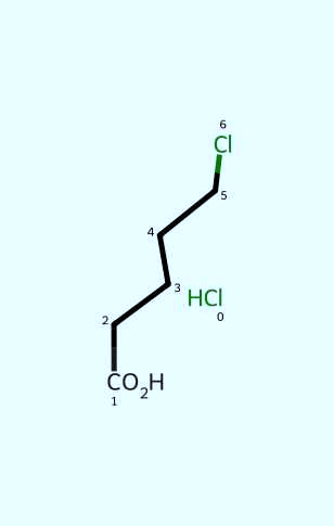 Cl.O=C(O)CCCCCl